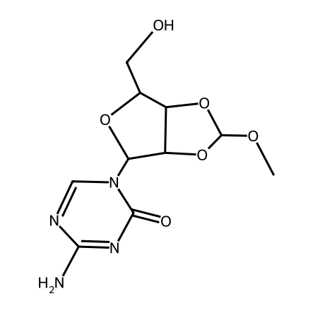 COC1OC2C(CO)OC(n3cnc(N)nc3=O)C2O1